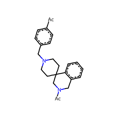 CC(=O)c1ccc(CN2CCC3(CC2)CN(C(C)=O)Cc2ccccc23)cc1